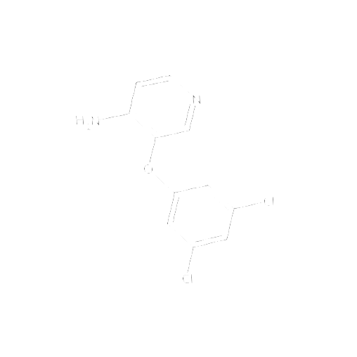 Nc1ccncc1Oc1cc(Cl)cc(Cl)c1